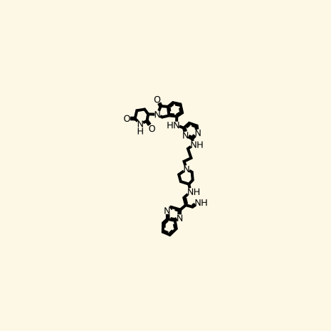 N=C/C(=C\NC1CCN(CCCNc2nccc(Nc3cccc4c3CN(C3CCC(=O)NC3=O)C4=O)n2)CC1)c1cnc2ccccc2n1